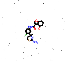 CC1(c2cc(NC(=O)c3coc4c3C(=O)CCC4)ccc2F)CCSC(N)=N1